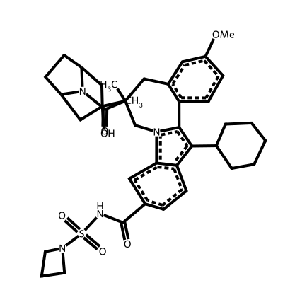 COc1ccc2c(c1)CC(C)(C(=O)N1C3CCC1CC(C)(O)C3)Cn1c-2c(C2CCCCC2)c2ccc(C(=O)NS(=O)(=O)N3CCC3)cc21